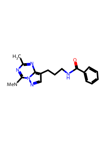 CNc1nc(C)nc2c(CCCNC(=O)c3ccccc3)cnn12